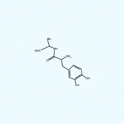 CCC(C)C([C]=O)NC(=O)C(N)Cc1ccc(O)c(O)c1